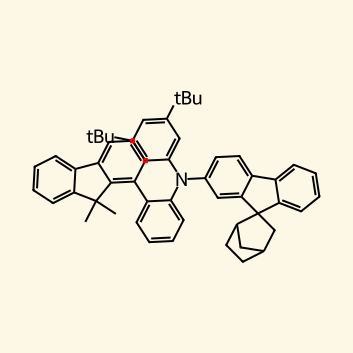 CC(C)(C)c1cc(N(c2ccc3c(c2)C2(CC4CCC2C4)c2ccccc2-3)c2ccccc2-c2cccc3c2C(C)(C)c2ccccc2-3)cc(C(C)(C)C)c1